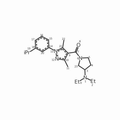 CCN(CC)C1CCN(C(=O)c2c(C)nn(-c3cccc(C(C)C)c3)c2C)C1